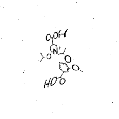 COc1cc(C(=O)O)ccc1OC(C)C[N+]1=C(OC(C)C)C=C(C(=O)O)C1